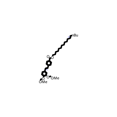 CCCC/C=C/CCCCCCCCCCCOC(=O)c1ccc(/C=C/c2ccc(OCOC)c(OCOC)c2)cc1